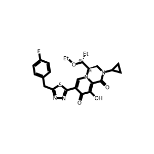 CCO[C@H](CC)[C@H]1CN(C2CC2)C(=O)c2c(O)c(=O)c(-c3nnc(Cc4ccc(F)cc4)s3)cn21